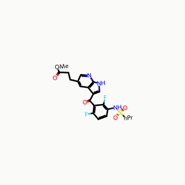 CCCS(=O)(=O)Nc1ccc(F)c(C(=O)c2c[nH]c3ncc(CCC(=O)OC)cc23)c1F